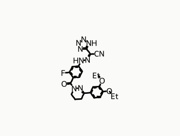 CCOc1ccc(C2=NN(C(=O)c3ccc(N/N=C(/C#N)c4nnn[nH]4)cc3F)CCC2)cc1OCC